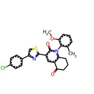 COc1cccc(C)c1-n1c2c(cc(-c3nc(-c4ccc(Cl)cc4)cs3)c1=O)C(=O)CCC2